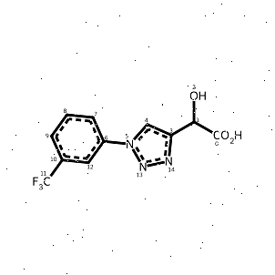 O=C(O)C(O)c1cn(-c2cccc(C(F)(F)F)c2)nn1